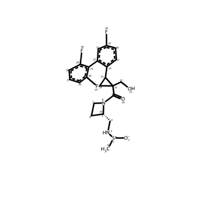 C[S+]([O-])NC[C@@H]1CCN1C(=O)C1(CO)CC1c1ccc(F)cc1-c1c(F)cccc1F